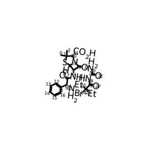 CC1(C)S[C@@H]2[C@H](NC(=O)[C@H](N)c3ccccc3)C(=O)N2[C@H]1C(=O)O.CCC(Br)(CC)C(=O)NC(N)=O